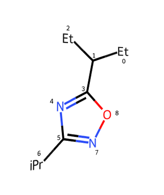 CCC(CC)c1nc(C(C)C)no1